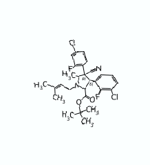 CC(C)=CCN1C(C(=O)OC(C)(C)C)[C@H](c2cccc(Cl)c2F)[C@@](C#N)(c2ccc(Cl)cc2F)C1C